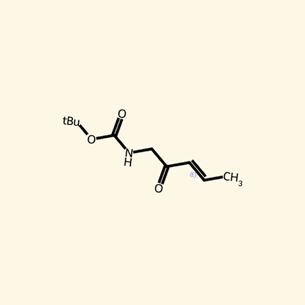 C/C=C/C(=O)CNC(=O)OC(C)(C)C